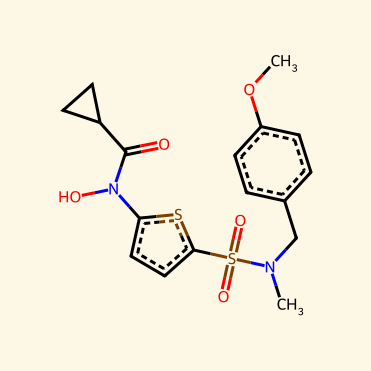 COc1ccc(CN(C)S(=O)(=O)c2ccc(N(O)C(=O)C3CC3)s2)cc1